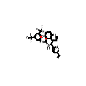 C=CC1C[N@@]2CCC1CC2C(NC(=S)Nc1cc(C(F)(F)F)cc(C(F)(F)F)c1)c1ccnc2ccc(OC)cc12